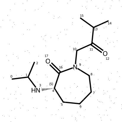 CC(C)N[C@H]1CCCCN(CC(=O)C(C)C)C1=O